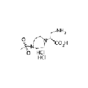 CS(=O)(=O)N1CCN([C@@H](CN)C(=O)O)CC1.Cl.Cl